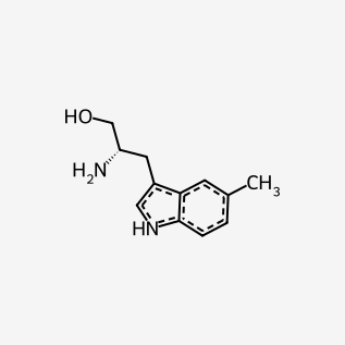 Cc1ccc2[nH]cc(C[C@H](N)CO)c2c1